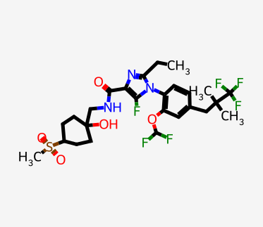 CCc1nc(C(=O)NCC2(O)CCC(S(C)(=O)=O)CC2)c(F)n1-c1ccc(CC(C)(C)C(F)(F)F)cc1OC(F)F